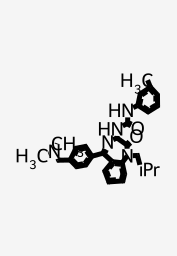 Cc1cccc(NC(=O)NC2N=C(c3ccc(CN(C)C)cc3)c3ccccc3N(CC(C)C)C2=O)c1